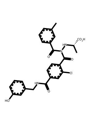 Cc1cccc(C(=O)N(N[C@@H](C)C(=O)O)C(=O)c2ccc(C(=O)NCc3cccc(O)c3)cc2Cl)c1